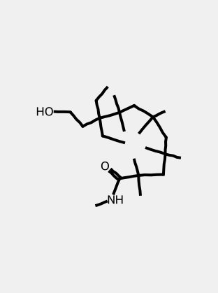 CCC(CC)(CCO)C(C)(C)CC(C)(C)CC(C)(C)CC(C)(C)C(=O)NC